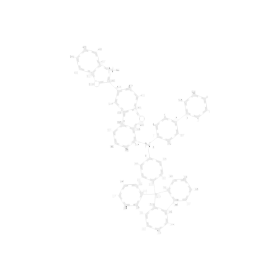 c1ccc(-c2ccc(N(c3ccc(C4(c5ccccc5)c5ccccc5-c5ccccc54)cc3)c3cccc4c3oc3ccc(-c5nc6ccccc6o5)cc34)cc2)cc1